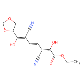 CCOC(=O)/C(O)=C(C#N)/C=C/C(C#N)=C(\O)C1COCO1